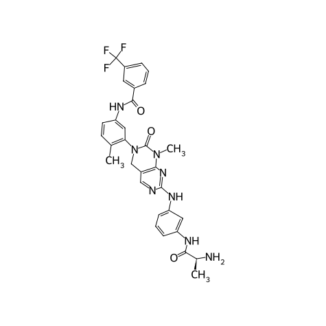 Cc1ccc(NC(=O)c2cccc(C(F)(F)F)c2)cc1N1Cc2cnc(Nc3cccc(NC(=O)[C@H](C)N)c3)nc2N(C)C1=O